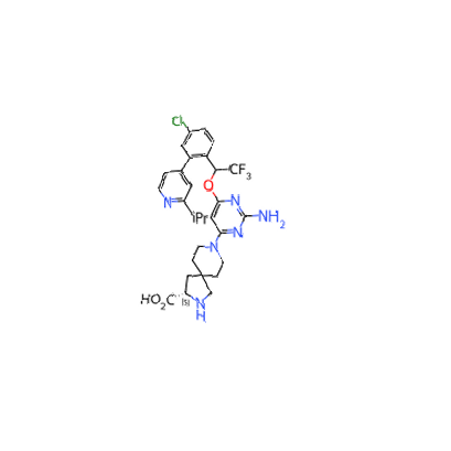 CC(C)c1cc(-c2cc(Cl)ccc2C(Oc2cc(N3CCC4(CC3)CN[C@H](C(=O)O)C4)nc(N)n2)C(F)(F)F)ccn1